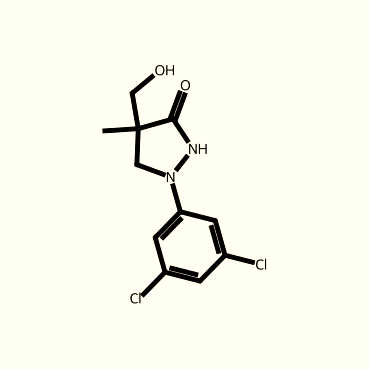 CC1(CO)CN(c2cc(Cl)cc(Cl)c2)NC1=O